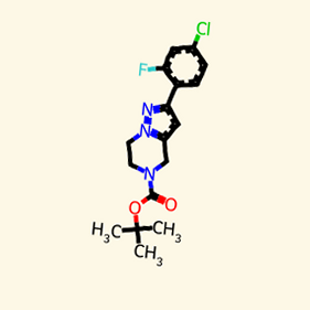 CC(C)(C)OC(=O)N1CCn2nc(-c3ccc(Cl)cc3F)cc2C1